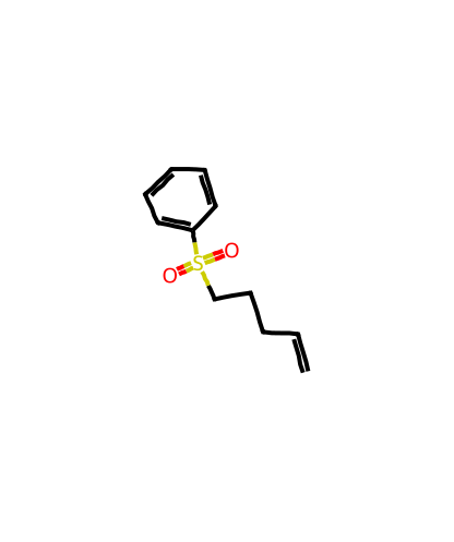 C=CCCCS(=O)(=O)c1ccccc1